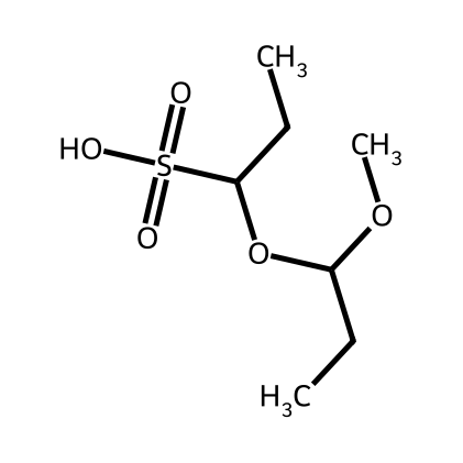 CCC(OC)OC(CC)S(=O)(=O)O